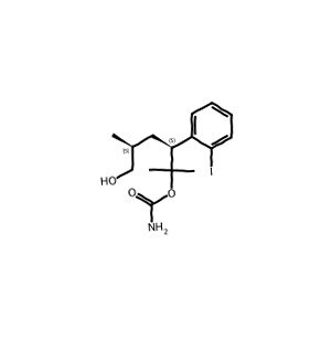 C[C@H](CO)C[C@@H](c1ccccc1I)C(C)(C)OC(N)=O